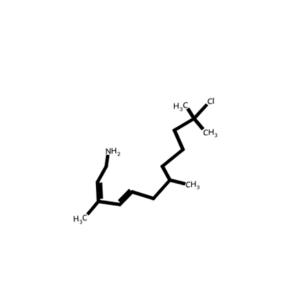 CC(C=CCC(C)CCCC(C)(C)Cl)=CCN